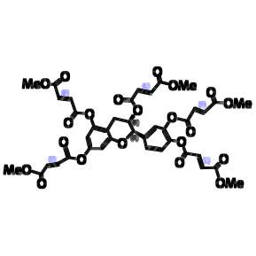 COC(=O)/C=C/C(=O)Oc1cc(OC(=O)/C=C/C(=O)OC)c2c(c1)O[C@H](c1ccc(OC(=O)/C=C/C(=O)OC)c(OC(=O)/C=C/C(=O)OC)c1)[C@H](OC(=O)/C=C/C(=O)OC)C2